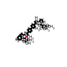 CC[C@@H](C(=O)N1C(c2nc(-c3ccc(-c4ccc(-c5c[nH]c([C@@H]6CCCN6C(=O)[C@@H](NC(=O)OC)C(C)C)n5)cc4)cc3)c[nH]2)CCC12CCC(F)(F)CC2)N(C)C(=O)O